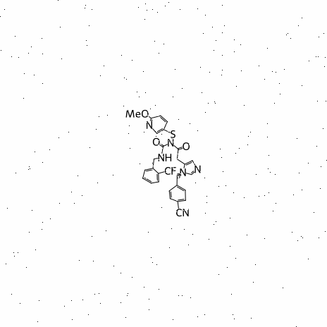 COc1ccc(SN(C(=O)Cc2cncn2Cc2ccc(C#N)cc2)C(=O)NCc2ccccc2C(F)(F)F)cn1